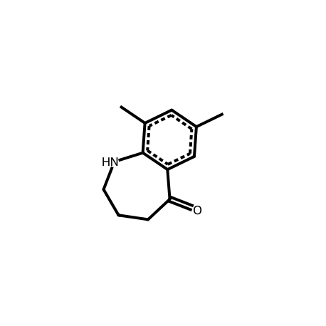 Cc1cc(C)c2c(c1)C(=O)CCCN2